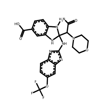 CN1c2ccc(C(=O)O)cc2NC1(Nc1nc2ccc(OC(F)(F)F)cc2s1)C(C(N)=O)N1CCOCC1